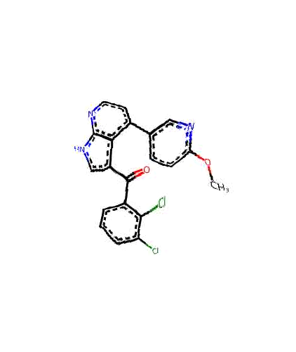 COc1ccc(-c2ccnc3[nH]cc(C(=O)c4cccc(Cl)c4Cl)c23)cn1